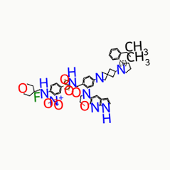 CC(C)c1ccccc1[C@@H]1CCCN1C1CC2(C1)CN(c1ccc(C(=O)NS(=O)(=O)c3ccc(NCC4(F)CCOCC4)c([N+](=O)[O-])c3)c(N3CCOc4nc5[nH]ccc5cc43)c1)C2